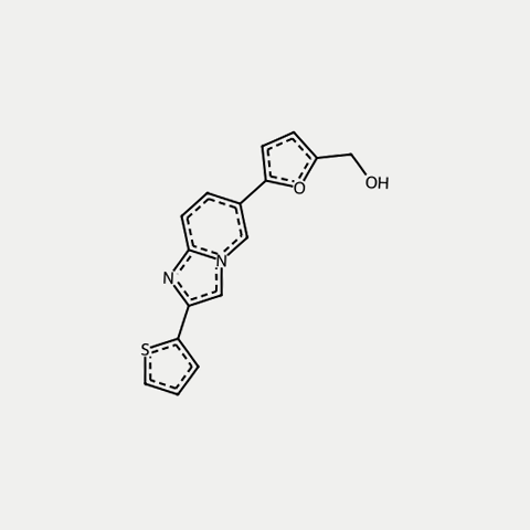 OCc1ccc(-c2ccc3nc(-c4cccs4)cn3c2)o1